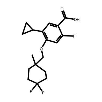 CC1(COc2cc(F)c(C(=O)O)cc2C2CC2)CCC(F)(F)CC1